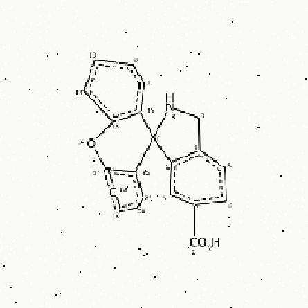 O=C(O)c1ccc2c(c1)C1(NC2)c2ccccc2Oc2ccccc21